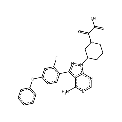 C=C(C#N)C(=O)N1CCCC(n2nc(-c3ccc(Oc4ccccc4)cc3F)c3c(N)ncnc32)C1